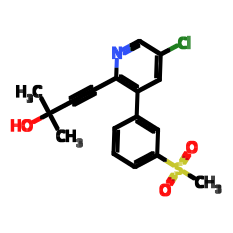 CC(C)(O)C#Cc1ncc(Cl)cc1-c1cccc(S(C)(=O)=O)c1